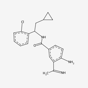 CC(=N)c1cc(C(=O)NC(CC2CC2)c2ccccc2Cl)ccc1N